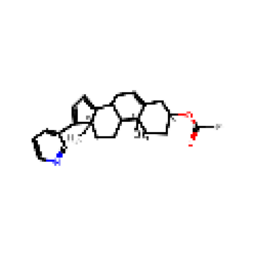 CC(C)C(=O)O[C@H]1CC[C@@]2(C)C(=CCC3C4=CC=C(c5cccnc5)[C@@]4(C)CCC32)C1